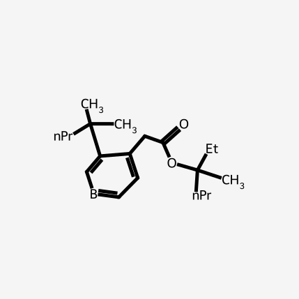 CCCC(C)(CC)OC(=O)Cc1ccbcc1C(C)(C)CCC